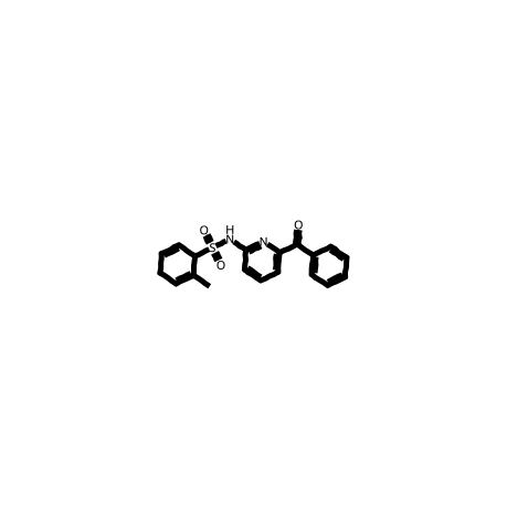 CC1=CCC=CC1S(=O)(=O)Nc1cccc(C(=O)c2ccccc2)n1